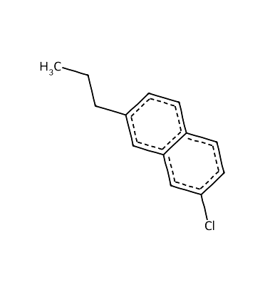 CCCc1ccc2ccc(Cl)cc2c1